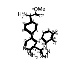 COC(=O)C(N)c1ccc(-c2cnc(N)c(-c3nnnn3-c3cccc(F)c3F)c2)cc1